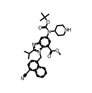 COC(=O)c1cc(N(C(=O)OC(C)(C)C)C2CCNCC2)cc2nc(C(C)C)n(Cc3ccc(C#N)c4ccccc34)c12